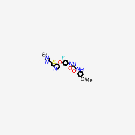 CCn1cnc(-c2cc3nccc(Oc4ccc(NC(=O)CC(=O)Nc5ccc(OC)cc5)cc4F)c3s2)c1